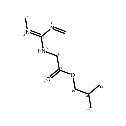 C=N/C(=N\C)NCC(=O)OCC(C)C